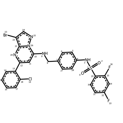 O=S(=O)(Nc1ccc(CNc2cc(-c3ccccc3Cl)nc3c(Br)cnn23)cc1)c1ccc(F)cc1F